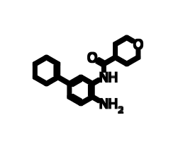 Nc1ccc(C2=CCCCC2)cc1NC(=O)C1CCOCC1